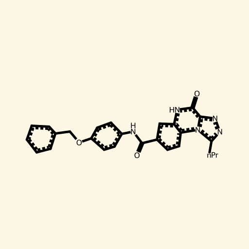 CCCc1nnc2c(=O)[nH]c3cc(C(=O)Nc4ccc(OCc5ccccc5)cc4)ccc3n12